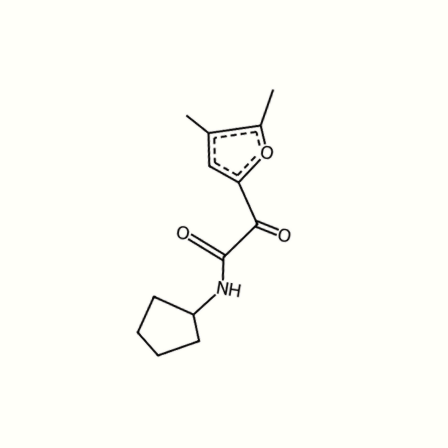 Cc1cc(C(=O)C(=O)NC2CCCC2)oc1C